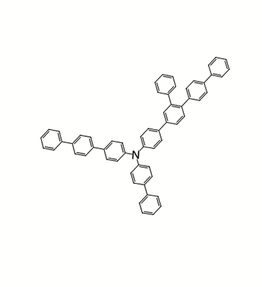 c1ccc(-c2ccc(-c3ccc(N(c4ccc(-c5ccccc5)cc4)c4ccc(-c5ccc(-c6ccc(-c7ccccc7)cc6)c(-c6ccccc6)c5)cc4)cc3)cc2)cc1